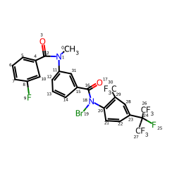 CN(C(=O)c1cccc(F)c1)c1cccc(C(=O)N(Br)c2ccc(C(F)(C(F)(F)F)C(F)(F)F)cc2C(F)(F)F)c1